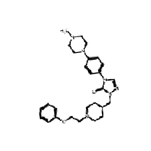 CN1CCN(c2ccc(-n3cnn(CC4CCN(CCOc5ccccc5)CC4)c3=O)cc2)CC1